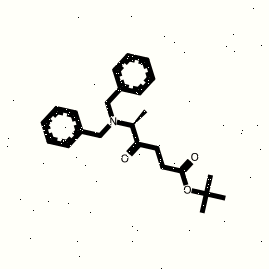 C[C@@H](C(=O)CCC(=O)OC(C)(C)C)N(Cc1ccccc1)Cc1ccccc1